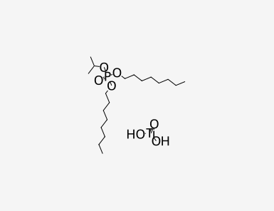 CCCCCCCCOP(=O)(OCCCCCCCC)OC(C)C.[O]=[Ti]([OH])[OH]